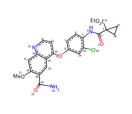 CCOC(=O)C1(C(=O)Nc2ccc(Oc3ccnc4cc(OC)c(C(N)=O)cc34)cc2Cl)CC1